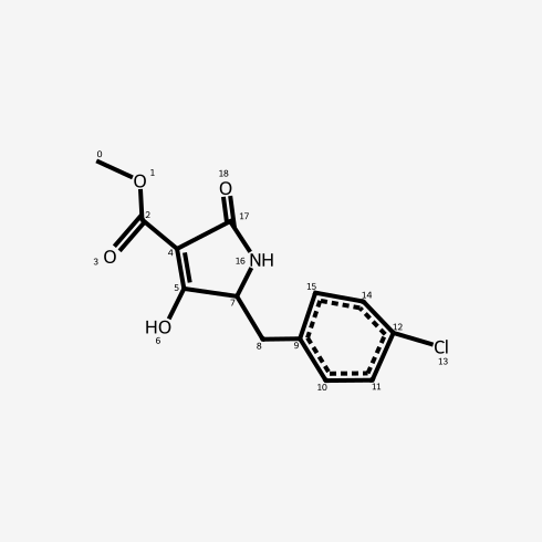 COC(=O)C1=C(O)C(Cc2ccc(Cl)cc2)NC1=O